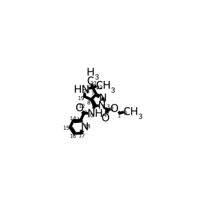 CCOC(=O)n1nc2c(c1NC(=O)c1ccccn1)CNC2(C)C